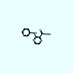 COC(=O)c1nccnc1Nc1cccnc1